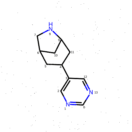 c1ncc(C2CC3CNC(C3)C2)cn1